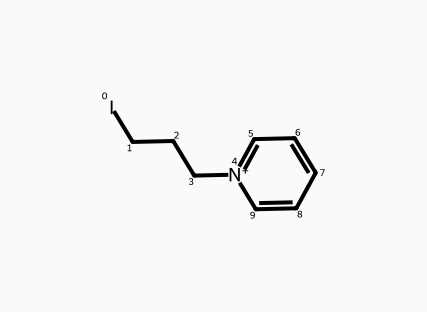 ICCC[n+]1ccccc1